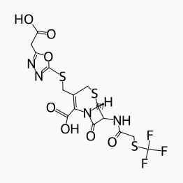 O=C(O)Cc1nnc(SCC2=C(C(=O)O)N3C(=O)C(NC(=O)CSC(F)(F)F)[C@H]3SC2)o1